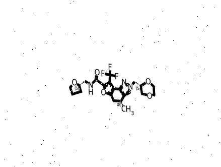 C[C@@H]1Cc2oc(C(=O)NC[C@@H]3CCCO3)c(C(F)(F)F)c2-c2nn(C[C@H]3COCCO3)cc21